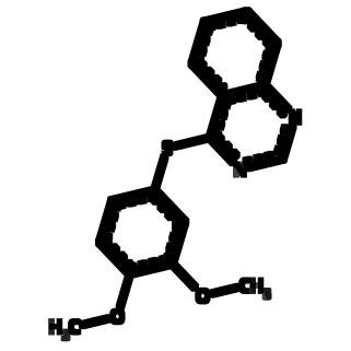 COc1ccc(Sc2ncnc3ccccc23)cc1OC